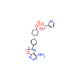 CC1(C)Oc2ncnc(N)c2N=C1C1=CCC([C@H]2CC[C@H](OP(=O)(O)OCc3cccnc3)CC2)C=C1